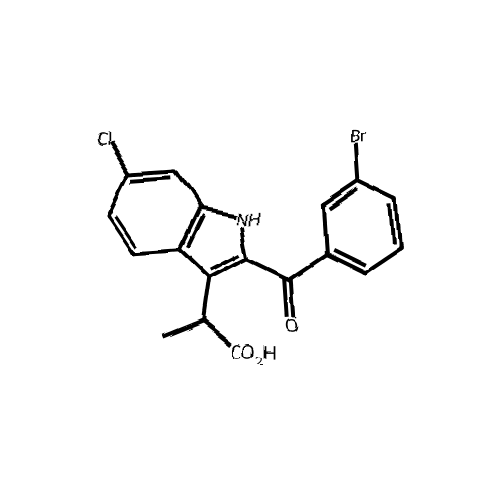 CC(C(=O)O)c1c(C(=O)c2cccc(Br)c2)[nH]c2cc(Cl)ccc12